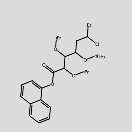 CCCCCCOC(CC(Cl)CC)C(OC(C)C)C(OC(C)C)C(=O)Oc1cccc2ccccc12